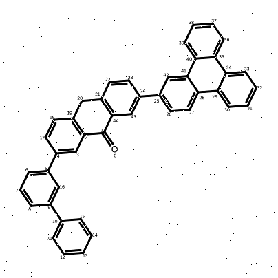 O=C1c2cc(-c3cccc(-c4ccccc4)c3)ccc2Cc2ccc(-c3ccc4c5ccccc5c5ccccc5c4c3)cc21